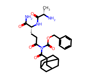 C[C@H](N)C(=O)N[C@H](CCC(=O)N(C(=O)OCc1ccccc1)C(=O)C12CC3CC(CC(C3)C1)C2)C(N)=O